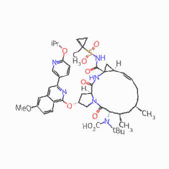 COc1ccc2c(O[C@@H]3C[C@H]4C(=O)N[C@]5(C(=O)NS(=O)(=O)C6(C)CC6)C[C@H]5/C=C\CC[C@@H](C)C[C@@H](C)[C@H](N(C(=O)O)C(C)(C)C)C(=O)N4C3)nc(-c3ccc(OC(C)C)nc3)cc2c1